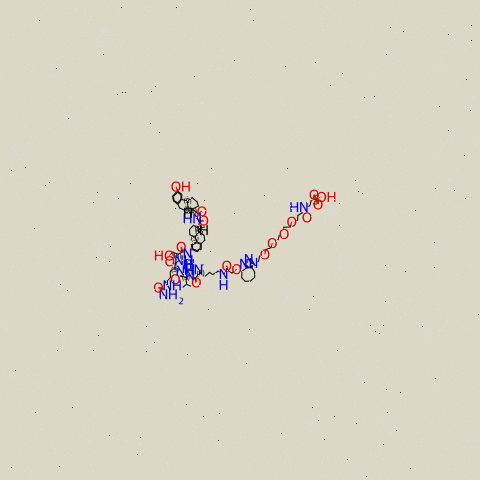 CN[C@H](CCCCNC(=O)COC1CCCCCc2c1nnn2CCOCCOCCOCCOCCC(=O)NCCS(=O)(=O)O)C(=O)N[C@H](C(=O)N[C@@H](CCCNC(N)=O)C(=O)N[C@@H](CO)C(=O)Nc1ccc2c(c1)[C@@]1(C)CCC[C@](C)(C(=O)NC(=O)[C@@]3(C)CCC[C@]4(C)c5cc(O)ccc5CC[C@@H]34)[C@@H]1CC2)C(C)C